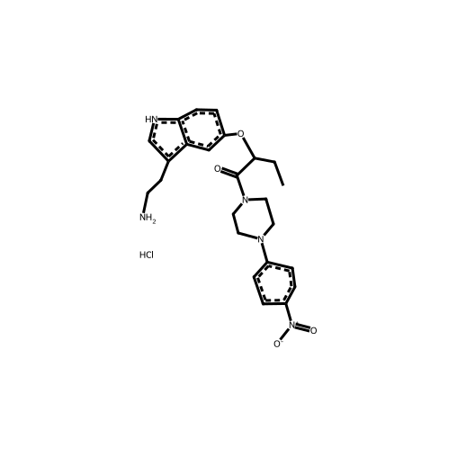 CCC(Oc1ccc2[nH]cc(CCN)c2c1)C(=O)N1CCN(c2ccc([N+](=O)[O-])cc2)CC1.Cl